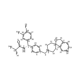 O=C(N[C@@H](c1ccc(CN2CCC3(CC2)OCc2ccncc23)cc1)c1ccc(F)c(F)c1)C(F)F